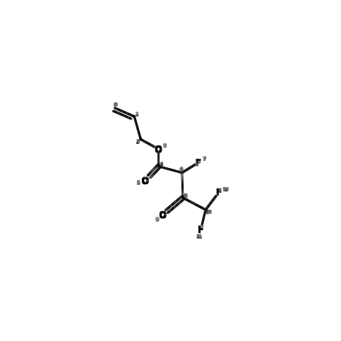 C=CCOC(=O)C(F)C(=O)C(F)F